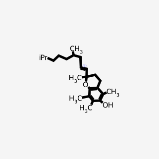 Cc1c(C)c2c(c(C)c1O)CCC(C)(/C=C/CC(C)CCCC(C)C)O2